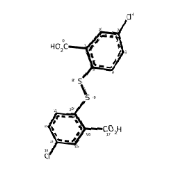 O=C(O)c1cc(Cl)ccc1SSc1ccc(Cl)cc1C(=O)O